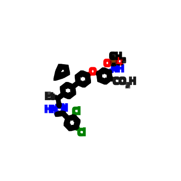 CCC(c1ccc(-c2ccc(Oc3ccc(C(=O)O)c(NS(C)(=O)=O)c3)cc2)cc1)c1nc(-c2ccc(Cl)cc2Cl)c[nH]1.c1cc2cc-2c1